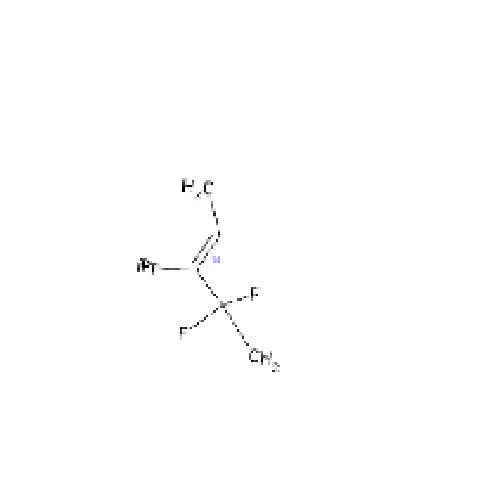 C/C=C(\C(C)C)C(C)(F)F